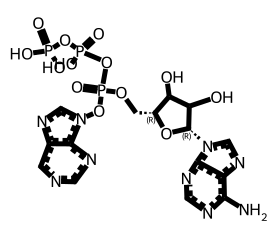 Nc1ncnc2c1ncn2[C@@H]1O[C@H](COP(=O)(On2cnc3cncnc32)OP(=O)(O)OP(=O)(O)O)C(O)C1O